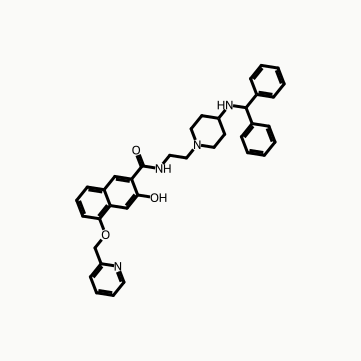 O=C(NCCN1CCC(NC(c2ccccc2)c2ccccc2)CC1)c1cc2cccc(OCc3ccccn3)c2cc1O